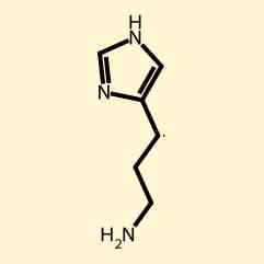 NCC[CH]c1c[nH]cn1